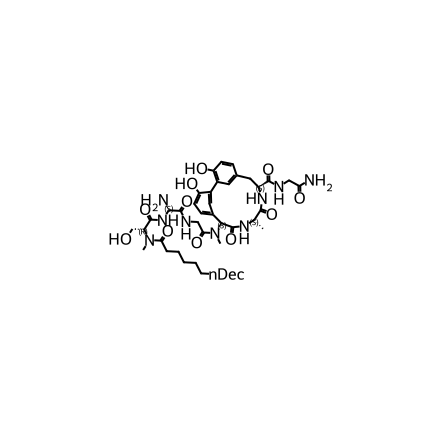 CCCCCCCCCCCCCCCC(=O)N(C)[C@H](CO)C(=O)N[C@H](N)C(=O)NCC(=O)N(C)[C@@H]1C(=O)N[C@@H](C)C(=O)N[C@H](C(=O)NCC(N)=O)Cc2ccc(O)c(c2)-c2cc1ccc2O